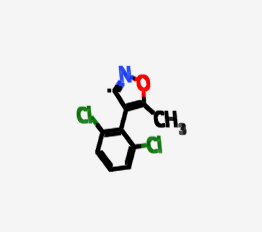 Cc1on[c]c1-c1c(Cl)cccc1Cl